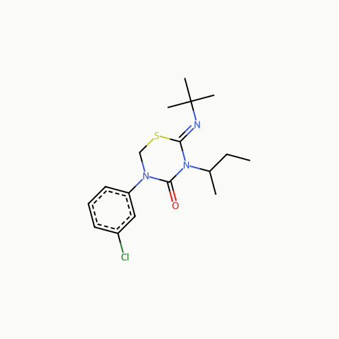 CCC(C)N1C(=O)N(c2cccc(Cl)c2)CS/C1=N\C(C)(C)C